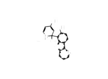 CC1=CC(C)(c2c(C)ccc3c2oc2cccnc23)N(C)C=C1